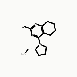 OC[C@H]1CCCN1c1nc(Cl)nc2c1CCCC2